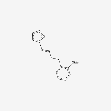 COc1ccccc1CCN=Cc1ccco1